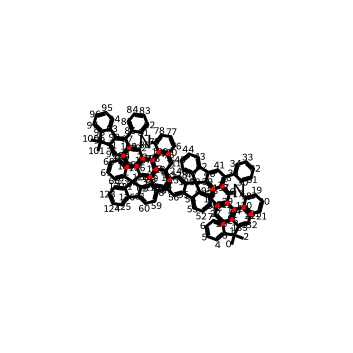 CC1(C)c2ccccc2-c2c(-c3ccccc3N(c3ccccc3-c3ccccc3)c3ccccc3-c3ccc4c(c3)-c3ccccc3C43c4ccccc4-c4cc(-c5ccc6c(c5)C5(c7ccccc7-c7cc(-c8ccccc8N(c8ccccc8-c8cccc9c8-c8ccccc8C9(C)C)c8ccccc8-c8cccc9ccccc89)ccc75)c5ccccc5-6)ccc43)cccc21